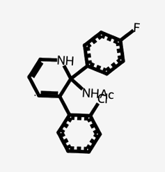 CC(=O)NC1(c2ccc(F)cc2)NC=C[C]=C1c1ccccc1Cl